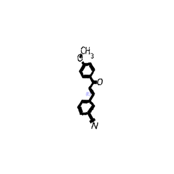 COc1ccc(C(=O)/C=C/c2cccc(C#N)c2)cc1